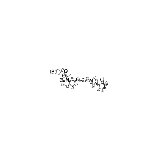 CC(OC(=O)C(C)(C)CC(C)(C)C)N1C(=O)CCc2ccc(OCCCCN3CCN(c4cccc(Cl)c4Cl)CC3)cc21